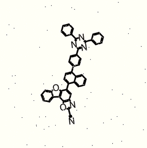 N#Cc1nc2cc(-c3ccc(-c4ccc(-c5nc(-c6ccccc6)nc(-c6ccccc6)n5)cc4)c4ccccc34)c3oc4ccccc4c3c2o1